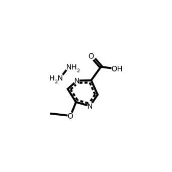 COc1cnc(C(=O)O)cn1.NN